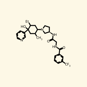 CCC1CC(N2CC[C@@H](NC(=O)CNC(=O)c3cccc(C(F)(F)F)c3)C2)C(C)CC1(O)c1cccnc1